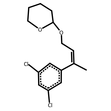 CC(=CCOC1CCCCO1)c1cc(Cl)cc(Cl)c1